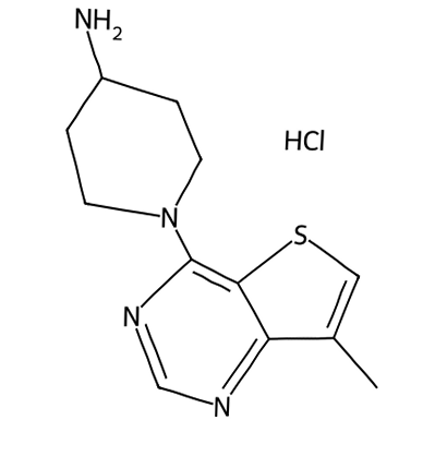 Cc1csc2c(N3CCC(N)CC3)ncnc12.Cl